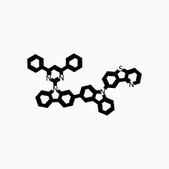 c1ccc(-c2cc(-c3ccccc3)nc(-n3c4ccccc4c4ccc(-c5ccc6c(c5)c5ccccc5n6-c5ccc6sc7cccnc7c6c5)cc43)n2)cc1